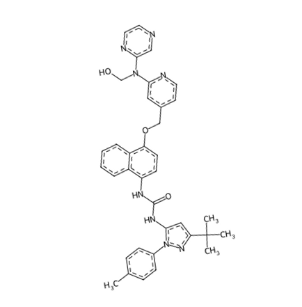 Cc1ccc(-n2nc(C(C)(C)C)cc2NC(=O)Nc2ccc(OCc3ccnc(N(CO)c4cnccn4)c3)c3ccccc23)cc1